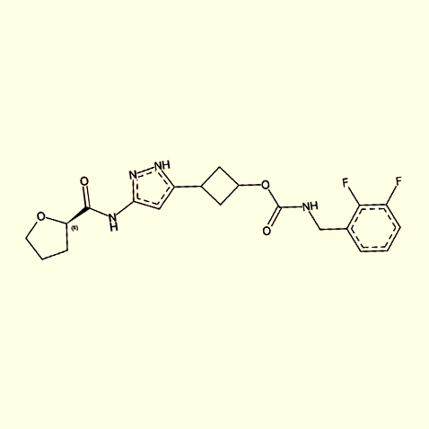 O=C(NCc1cccc(F)c1F)OC1CC(c2cc(NC(=O)[C@H]3CCCO3)n[nH]2)C1